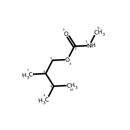 CNC(=O)OCC(C)C(C)C